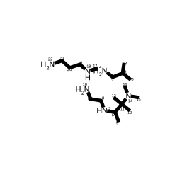 CC(C)CN.CC(NCCN)C(C)(C)N(C)C.CNCCCN